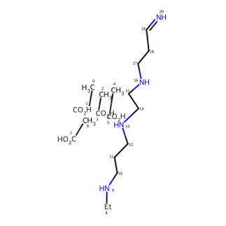 CC(=O)O.CC(=O)O.CC(=O)O.CC(=O)O.CCNCCCNCCNCCC=N